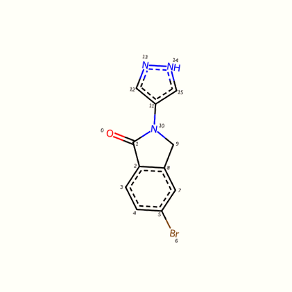 O=C1c2ccc(Br)cc2CN1c1cn[nH]c1